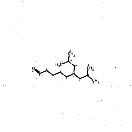 CC(C)CN(CCCCC=O)CC(C)C